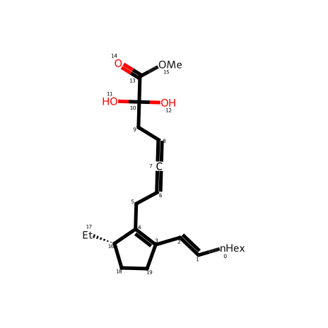 CCCCCC/C=C/C1=C(CC=C=CCC(O)(O)C(=O)OC)[C@@H](CC)CC1